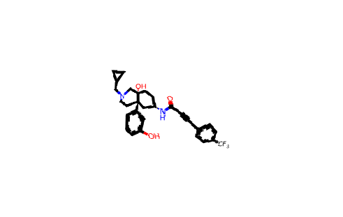 O=C(C#Cc1ccc(C(F)(F)F)cc1)N[C@H]1CC[C@]2(O)CN(CC3CC3)CC[C@@]2(c2cccc(O)c2)C1